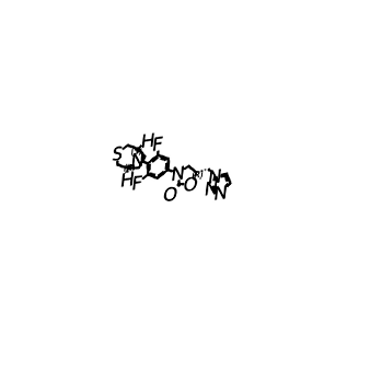 O=C1O[C@@H](Cn2ccnn2)CN1c1cc(F)c(N2[C@@H]3CC[C@H]2CSC3)c(F)c1